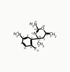 C=C1C[C@@](C)(c2cc(N)ccc2F)N=C(N)O1